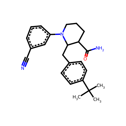 CC(C)(C)c1ccc(CC2C(C(N)=O)CCCN2c2cccc(C#N)c2)cc1